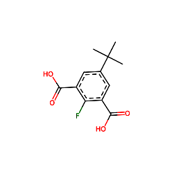 CC(C)(C)c1cc(C(=O)O)c(F)c(C(=O)O)c1